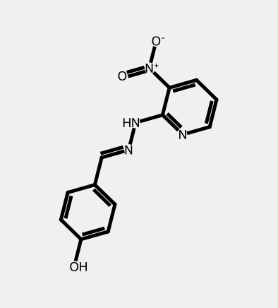 O=[N+]([O-])c1cccnc1NN=Cc1ccc(O)cc1